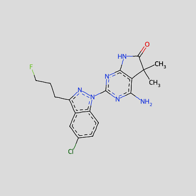 CC1(C)C(=O)Nc2nc(-n3nc(CCCF)c4cc(Cl)ccc43)nc(N)c21